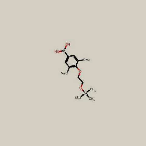 COc1cc(B(O)O)cc(OC)c1OCCO[Si](C)(C)C(C)(C)C